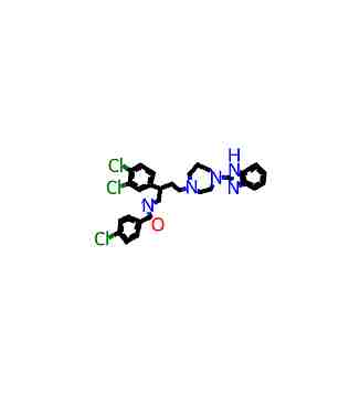 CN(CC(CCN1CCCN(c2nc3ccccc3[nH]2)CC1)c1ccc(Cl)c(Cl)c1)C(=O)c1ccc(Cl)cc1